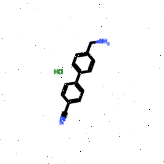 Cl.N#Cc1ccc(-c2ccc(CN)cc2)cc1